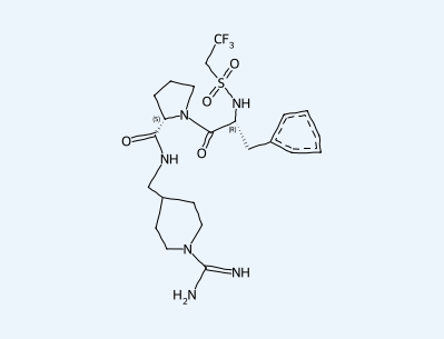 N=C(N)N1CCC(CNC(=O)[C@@H]2CCCN2C(=O)[C@@H](Cc2ccccc2)NS(=O)(=O)CC(F)(F)F)CC1